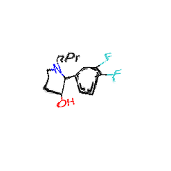 CCCN1CCC(O)C1c1ccc(F)c(F)c1